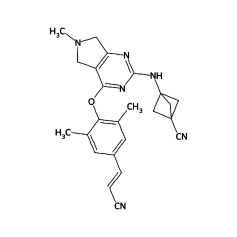 Cc1cc(/C=C/C#N)cc(C)c1Oc1nc(NC23CC(C#N)(C2)C3)nc2c1CN(C)C2